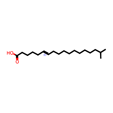 CC(C)CCCCCCCCC/C=C/CCCCC(=O)O